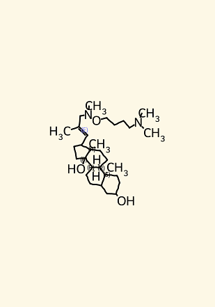 C/C(=C\C1CC[C@@]2(O)[C@@H]3CCC4CC(O)CC[C@]4(C)[C@@H]3CC[C@]12C)CN(C)OCCCCN(C)C